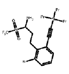 CC(C)[Si](C#Cc1cccc(Br)c1CCC(N)S(=O)(=O)C(F)(F)F)(C(C)C)C(C)C